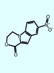 O=C1OCCn2c1cc1cc([N+](=O)[O-])ccc12